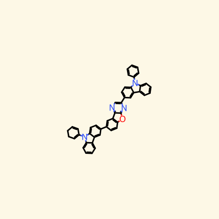 C1=CC(n2c3ccccc3c3cc(-c4ccc5oc6nc(-c7ccc8c(c7)c7ccccc7n8-c7ccccc7)cnc6c5c4)ccc32)=CCC1